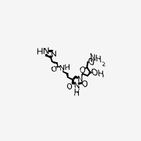 NOCC1OC(n2cc(/C=C/CNC(=O)/C=C/c3c[nH]cn3)c(=O)[nH]c2=O)CC1O